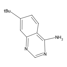 CC(C)(C)c1ccc2c(N)ncnc2c1